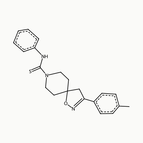 Cc1ccc(C2=NOC3(CCN(C(=S)Nc4ccccc4)CC3)C2)cc1